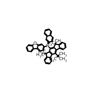 CC(C)(C)c1c2c(c(N(c3ccc4ccccc4c3)c3ccc4c(c3)oc3ccccc34)c3c1-c1ccccc1C3(C)C)C(C)(C)c1ccccc1-2